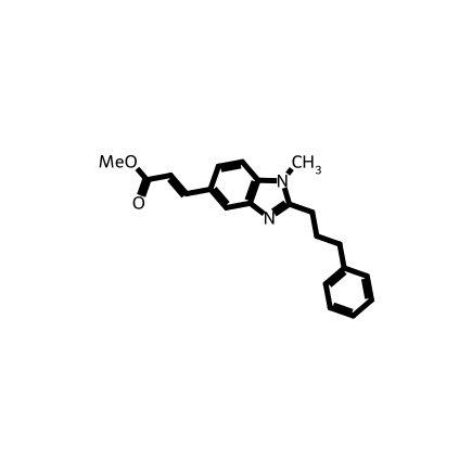 COC(=O)C=Cc1ccc2c(c1)nc(CCCc1ccccc1)n2C